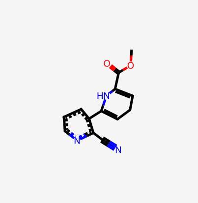 COC(=O)C1=CCC=C(c2cccnc2C#N)N1